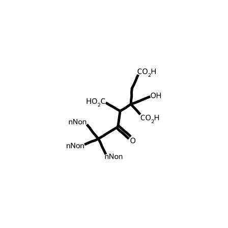 CCCCCCCCCC(CCCCCCCCC)(CCCCCCCCC)C(=O)C(C(=O)O)C(O)(CC(=O)O)C(=O)O